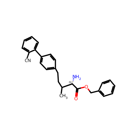 CC(CCc1ccc(-c2ccccc2C#N)cc1)[C@H](N)C(=O)OCc1ccccc1